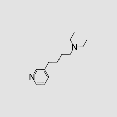 CCN(CC)CCCCc1cccnc1